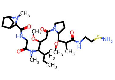 CCC(C)C(C(CC(=O)N1CCCC1C(OC)C(C)C(=O)NCCSN)OC)N(C)C(=O)CNC(=O)C1C2CCC(C2)N1C